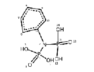 O=P(O)(O)N(c1ccccc1)P(=O)(O)O